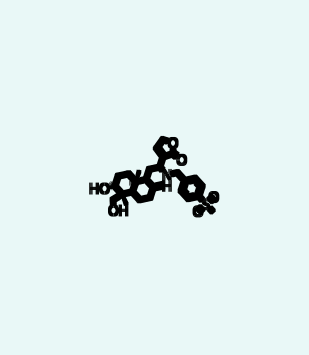 C=C1CCC2[C@](C)(CC[C@@H](O)[C@@]2(C)CO)C1CC(NCc1ccc(S(C)(=O)=O)cc1)C1=CCOC1=O